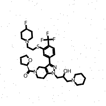 O=C([C@H]1CCCO1)N1CCc2c(c(-c3ccc(C(F)(F)F)c(SCCN4CCC(F)CC4)c3)nn2CC(O)CN2CCCCC2)C1